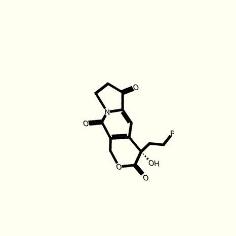 O=C1CCn2c1cc1c(c2=O)COC(=O)[C@]1(O)CCF